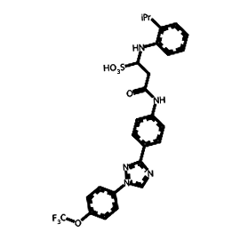 CC(C)c1ccccc1NC(CC(=O)Nc1ccc(-c2ncn(-c3ccc(OC(F)(F)F)cc3)n2)cc1)S(=O)(=O)O